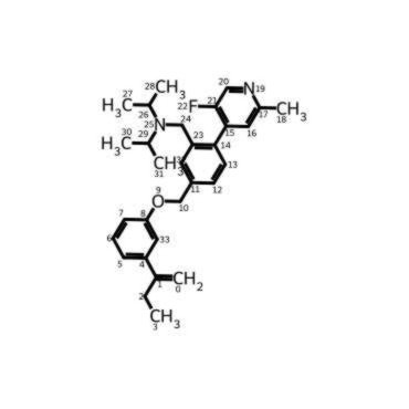 C=C(CC)c1cccc(OCc2ccc(-c3cc(C)ncc3F)c(CN(C(C)C)C(C)C)c2)c1